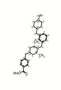 COC(=O)c1ccc(CN2C[C@@H](C)N(Cc3cccc(CN4CCN(C(C)C)CC4)c3)[C@@H](C)C2)cc1